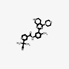 Cc1ccc(NC(=O)c2ccnc(C(C)(C)C#N)c2)cc1-c1nc2c(c(N3CCOCC3)n1)CCNC2